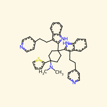 CN(C)C1(c2cccs2)CCC(c2[nH]c3ccccc3c2CCc2ccncc2)(c2[nH]c3ccccc3c2CCc2ccncc2)CC1